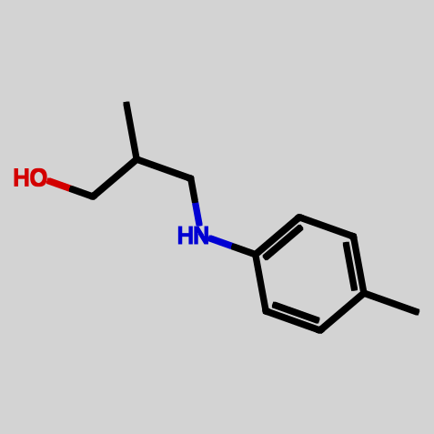 Cc1ccc(NCC(C)CO)cc1